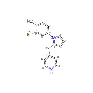 N#Cc1ccc(-n2cccc2Cc2ccncc2)cc1Br